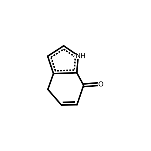 O=C1C=CCc2cc[nH]c21